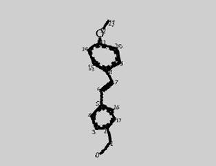 CCc1ccc(C=Cc2ccc(OC)cc2)cc1